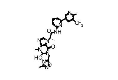 Cc1noc(CN2C(=O)c3c(ncn3[C@@H](C)C(=O)Nc3cccc(-c4cnc(C)c(C(F)(F)F)c4)n3)N(C)C2O)n1